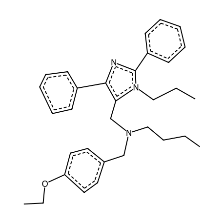 CCCCN(Cc1ccc(OCC)cc1)Cc1c(-c2ccccc2)nc(-c2ccccc2)n1CCC